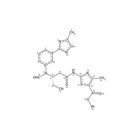 Cc1nc(-c2cccc(N(C=O)[C@@H](CC#N)CC(=O)Nc3nc(C)c(C(=O)OC(C)C)s3)c2)no1